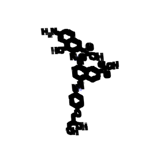 Nc1ccc2cc(S(=O)(=O)O)c(/N=N/c3ccc(/N=N/c4ccc(OCC(O)CO)cc4)c4ccc(S(=O)(=O)O)cc34)c(O)c2c1